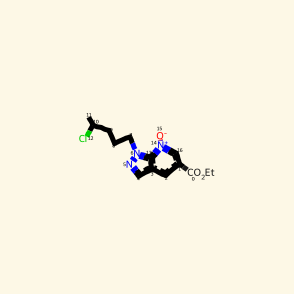 CCOC(=O)c1cc2cnn(CCCC(C)Cl)c2[n+]([O-])c1